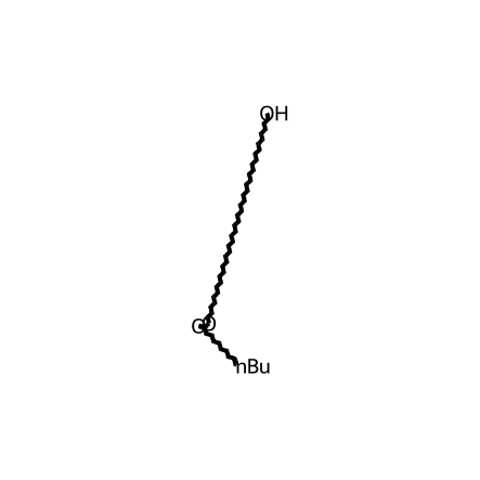 CCCCC=CCCCCCCCC(=O)OCCCCCCCCCCCCCCCCCCCCCCCCCCCCCCCCCCCCCCCCO